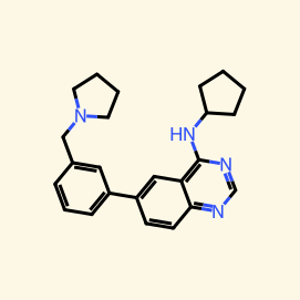 c1cc(CN2CCCC2)cc(-c2ccc3ncnc(NC4CCCC4)c3c2)c1